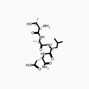 CC(C)C[C@H](NC(=O)[C@H](C)NC(=O)[C@@H](N)[C@@H](C)O)C(=O)N[C@@H](CC(=O)O)C(N)=O